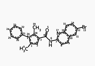 Cc1cc(C(=O)Nc2ccc3cc(Br)ccc3n2)c(C)n1-c1ccccc1